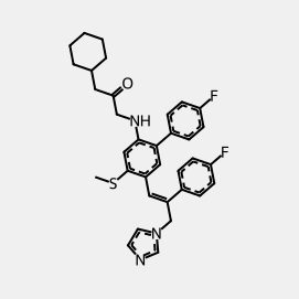 CSc1cc(NCC(=O)CC2CCCCC2)c(-c2ccc(F)cc2)cc1/C=C(/Cn1ccnc1)c1ccc(F)cc1